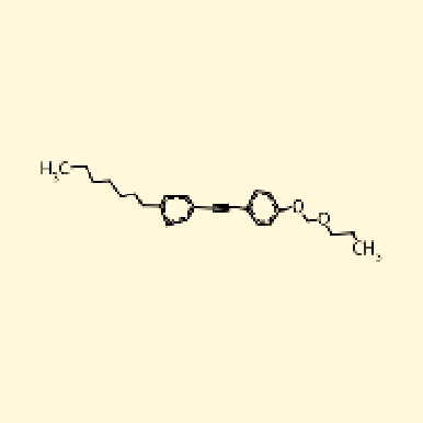 CCCCCCCc1ccc(C#Cc2ccc(OCOCCC)cc2)cc1